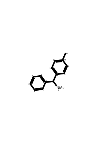 CNC(c1ccccc1)c1ccc(C)cc1